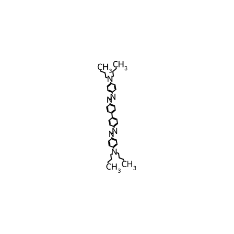 CCCCN(CCCC)c1ccc(N=Nc2ccc(-c3ccc(N=Nc4ccc(N(CCCC)CCCC)cc4)cc3)cc2)cc1